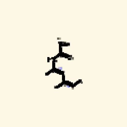 C/C=C(C)\C=C(/C)NC(=O)NC